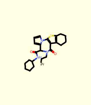 CC(C)CCN1C(=O)c2c(sc3c2CCCC3)-n2cccc2C1C(=O)NC1CCCCC1